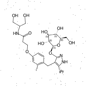 Cc1cc(OCCC(=O)NC(CO)CO)ccc1Cc1c(O[C@@H]2O[C@H](CO)[C@@H](O)[C@H](O)[C@H]2O)n[nH]c1C(C)C